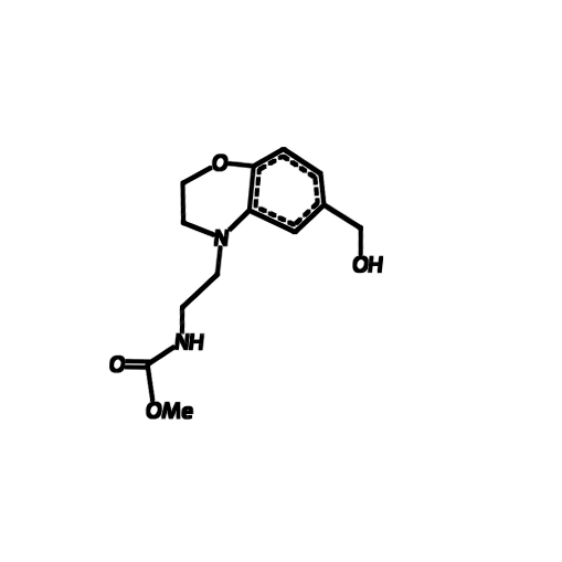 COC(=O)NCCN1CCOc2ccc(CO)cc21